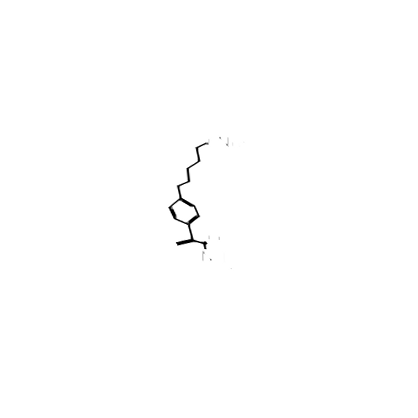 C=C(C(N)=O)c1ccc(CCCCCCCCCCCCCC)cc1